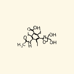 CC(=O)Nc1c(I)c(C(=O)O)c(I)c(C2=NC(CO)(CO)CO2)c1I